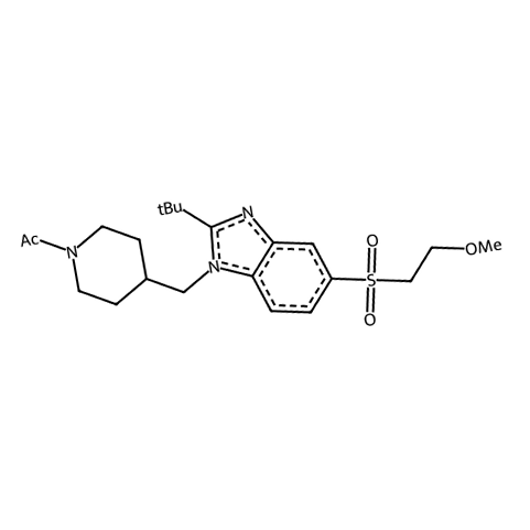 COCCS(=O)(=O)c1ccc2c(c1)nc(C(C)(C)C)n2CC1CCN(C(C)=O)CC1